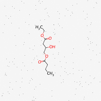 CCCC(=O)OCC(O)CC(=O)OCC